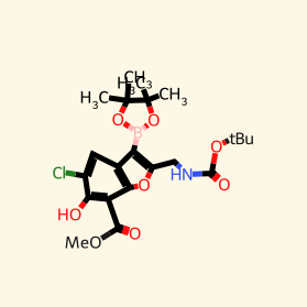 COC(=O)c1c(O)c(Cl)cc2c(B3OC(C)(C)C(C)(C)O3)c(CNC(=O)OC(C)(C)C)oc12